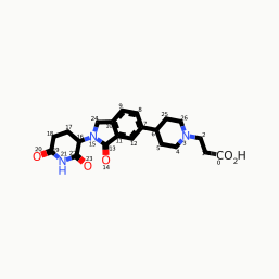 O=C(O)CCN1CCC(c2ccc3c(c2)C(=O)N(C2CCC(=O)NC2=O)C3)CC1